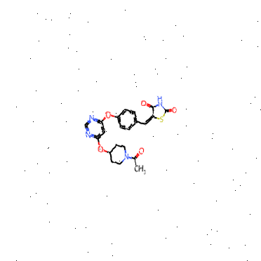 CC(=O)N1CCC(Oc2cc(Oc3ccc(C=C4SC(=O)NC4=O)cc3)ncn2)CC1